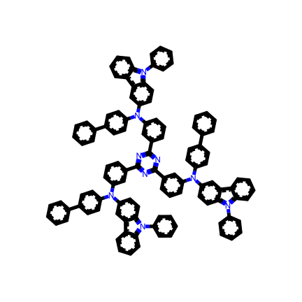 c1ccc(-c2ccc(N(c3cccc(-c4nc(-c5cccc(N(c6ccc(-c7ccccc7)cc6)c6ccc7c(c6)c6ccccc6n7-c6ccccc6)c5)nc(-c5cccc(N(c6ccc(-c7ccccc7)cc6)c6ccc7c(c6)c6ccccc6n7-c6ccccc6)c5)n4)c3)c3ccc4c(c3)c3ccccc3n4-c3ccccc3)cc2)cc1